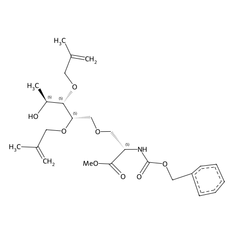 C=C(C)CO[C@@H]([C@H](C)O)[C@H](COC[C@H](NC(=O)OCc1ccccc1)C(=O)OC)OCC(=C)C